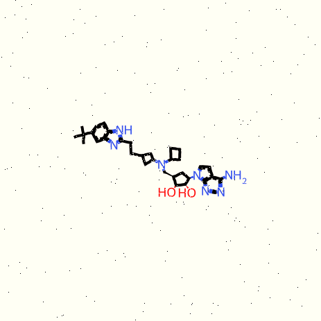 CC(C)(C)c1ccc2[nH]c(CCC3CC(N(C[C@H]4C[C@@H](n5ccc6c(N)ncnc65)[C@H](O)[C@@H]4O)C4CCC4)C3)nc2c1